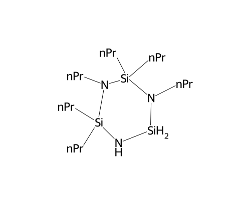 CCCN1[SiH2]N[Si](CCC)(CCC)N(CCC)[Si]1(CCC)CCC